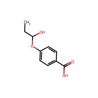 CCC(O)Oc1ccc(C(=O)O)cc1